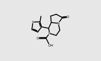 Cc1sccc1C1C2CCC(=O)N2CCN1C(=O)O